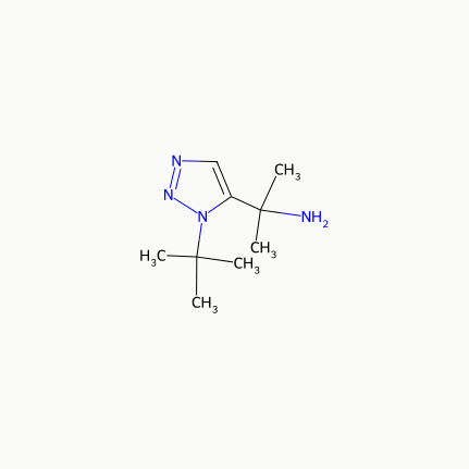 CC(C)(N)c1cnnn1C(C)(C)C